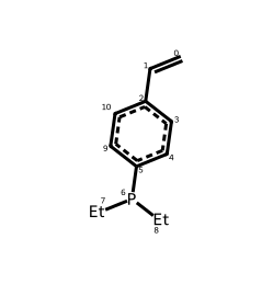 C=Cc1ccc(P(CC)CC)cc1